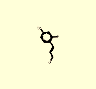 [O]C/C=C/c1ccc(Br)cc1F